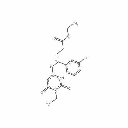 CCOC(=O)CC[C@@H](Nc1cc(=O)n(CC)c(=O)[nH]1)c1cccc(Cl)c1